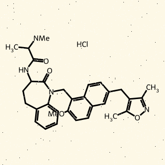 CNC(C)C(=O)NC1CCc2ccccc2N(Cc2c(OC)ccc3cc(Cc4c(C)noc4C)ccc23)C1=O.Cl